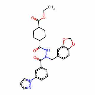 CCOC(=O)[C@H]1CC[C@H](C(=O)NN(Cc2ccc3c(c2)OCO3)C(=O)c2cccc(-n3cccn3)c2)CC1